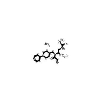 B.CCOC(=O)C(CNC(=O)OC(C)(C)C)N(CC1CCN(c2ccncc2)CC1)C(=O)CBr